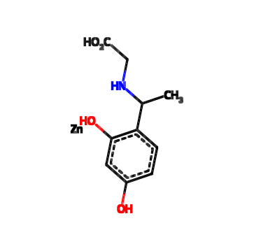 CC(NCC(=O)O)c1ccc(O)cc1O.[Zn]